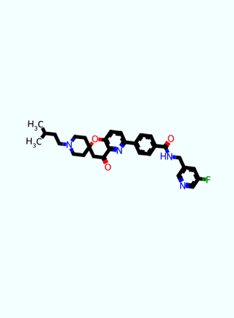 CC(C)CCN1CCC2(CC1)CC(=O)c1nc(-c3ccc(C(=O)NCc4cncc(F)c4)cc3)ccc1O2